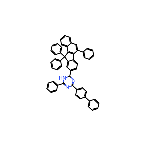 c1ccc(C2=NC(c3ccc(-c4ccccc4)cc3)=NC(c3ccc4c(c3)C(c3ccccc3)(c3ccccc3)c3c-4c(-c4ccccc4)cc4ccccc34)N2)cc1